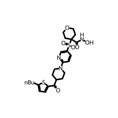 CCCCc1ccc(C(=O)C2CCN(c3ccc(S(=O)(=O)C4(C(=O)NO)CCOCC4)cn3)CC2)s1